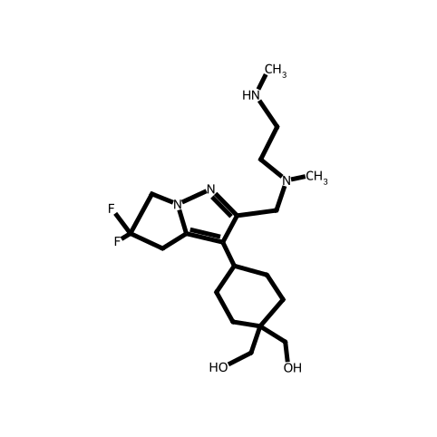 CNCCN(C)Cc1nn2c(c1C1CCC(CO)(CO)CC1)CC(F)(F)C2